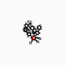 N#Cc1ccc(-c2ccc3c4ccccc4n(-c4ccc(-c5c(C(F)(F)F)cccc5C(F)(F)F)c(-n5c6ccccc6c6ccc(-c7ccc(C#N)cc7C#N)cc65)c4C#N)c3c2)c(C#N)c1